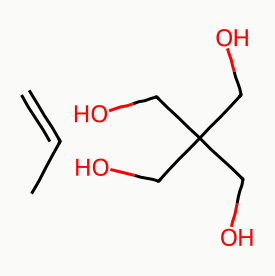 C=CC.OCC(CO)(CO)CO